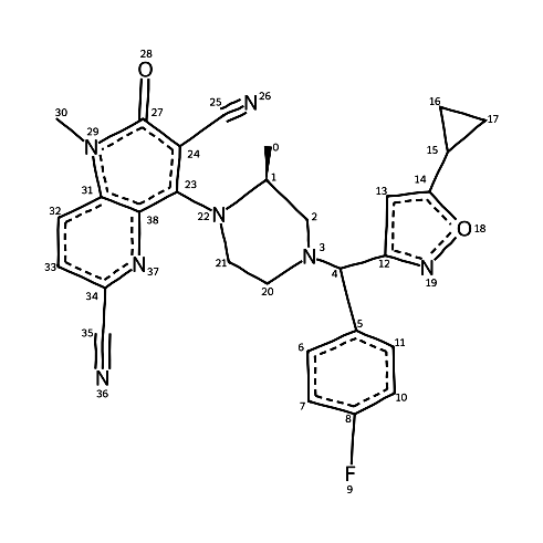 C[C@H]1CN(C(c2ccc(F)cc2)c2cc(C3CC3)on2)CCN1c1c(C#N)c(=O)n(C)c2ccc(C#N)nc12